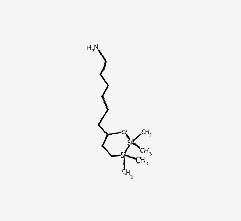 C[Si]1(C)CCC(CCCCCCN)O[Si]1(C)C